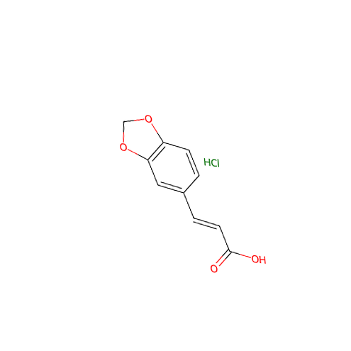 Cl.O=C(O)/C=C/c1ccc2c(c1)OCO2